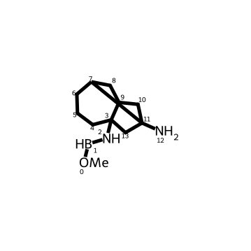 COBNC12CCCC3CC1CC3(N)C2